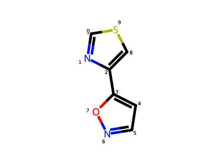 [c]1nc(-c2ccno2)cs1